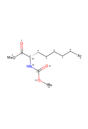 COC(=O)[C@H](CCCCCC(C)=O)NC(=O)OC(C)(C)C